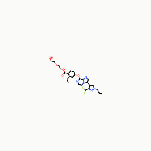 C=CCn1cc(-c2cnc3c(Oc4ccc(C(=O)OCCOCCO)c(CC)c4)nccn23)c(C(F)F)n1